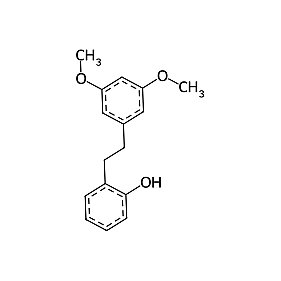 COc1cc(CCc2ccccc2O)cc(OC)c1